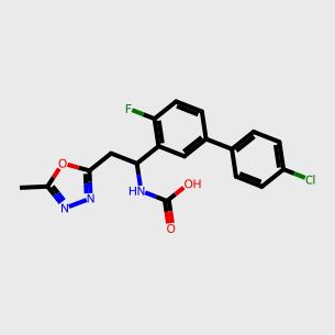 Cc1nnc(CC(NC(=O)O)c2cc(-c3ccc(Cl)cc3)ccc2F)o1